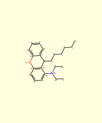 CCCCCCC1c2ccccc2Oc2cccc(N(CC)CC)c21